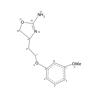 COc1cccc(OCCC2COC(N)=N2)c1